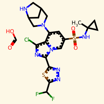 CC1(NS(=O)(=O)c2cc(N3CC4CNC(C4)C3)c3c(Cl)nc(-c4nnc(C(F)F)s4)n3c2)CC1.O=CO